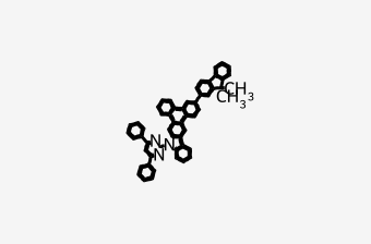 CC1(C)c2ccccc2-c2ccc(-c3ccc4c(c3)c3ccccc3c3cc5c(cc43)c3ccccc3n5-c3nc(-c4ccccc4)cc(-c4ccccc4)n3)cc21